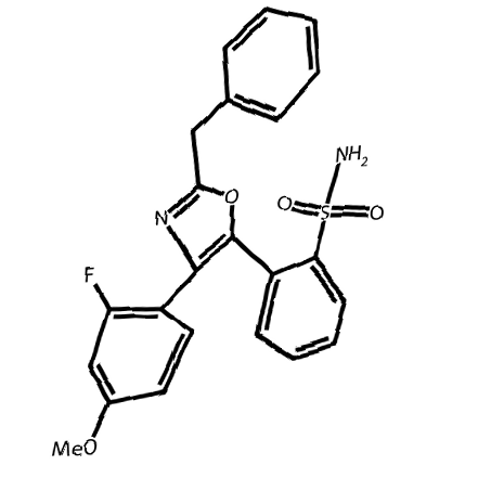 COc1ccc(-c2nc(Cc3ccccc3)oc2-c2ccccc2S(N)(=O)=O)c(F)c1